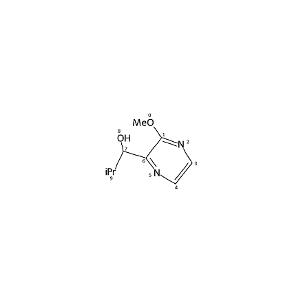 COc1nccnc1C(O)C(C)C